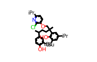 CC(C)c1cc(C(C)(C)C)c(O)c(C(C)(CCC(C)c2ccc(O)c(C(C)(C)C)c2)COc2ccc(C(C)C)nc2Cl)c1